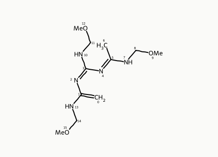 C=C(/N=C(\N=C(/C)NCOC)NCOC)NCOC